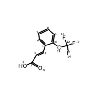 O=C(O)C=Cc1ccccc1OC(F)(F)F